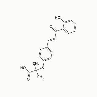 CC(C)(Sc1ccc(C=CC(=O)c2ccccc2O)cc1)C(=O)O